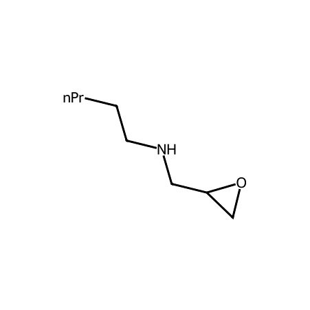 CCCCCNCC1CO1